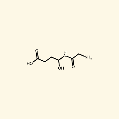 NCC(=O)NC(O)CCC(=O)O